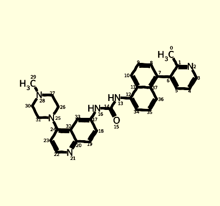 Cc1ncccc1-c1cccc2c(NC(=O)Nc3ccc4nccc(N5CCN(C)CC5)c4c3)cccc12